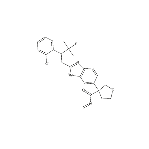 C=NC(=O)C1(c2ccc3nc(CC(c4ccccc4Cl)C(C)(C)F)[nH]c3c2)CCOC1